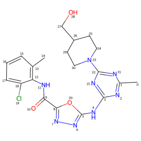 Cc1nc(Nc2nnc(C(=O)Nc3c(C)cccc3Cl)o2)nc(N2CCC(CO)CC2)n1